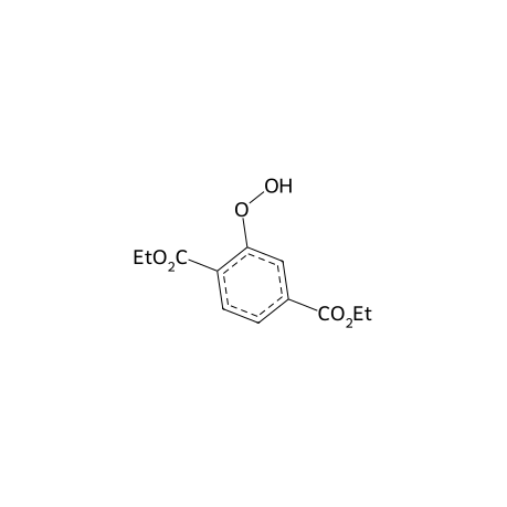 CCOC(=O)c1ccc(C(=O)OCC)c(OO)c1